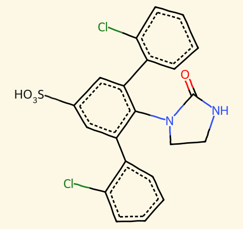 O=C1NCCN1c1c(-c2ccccc2Cl)cc(S(=O)(=O)O)cc1-c1ccccc1Cl